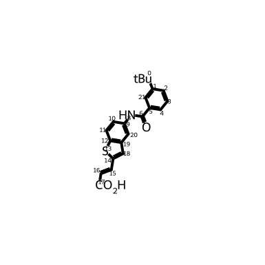 CC(C)(C)c1cccc(C(=O)Nc2ccc3sc(/C=C/C(=O)O)cc3c2)c1